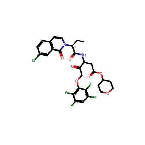 CC[C@@H](C(=O)NC(CC(=O)OC1CCOCC1)C(=O)COc1c(F)c(F)cc(F)c1F)n1ccc2ccc(Cl)cc2c1=O